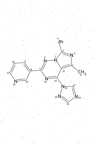 Cc1nc(C(C)C)n2nc(-c3cccnc3)nc(-n3cncn3)c12